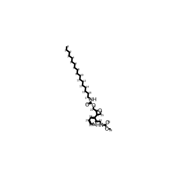 CCCCCCCCCCCCCCCCCCNC(=O)OCC1OCC1c1cccnc1CNC(=O)OC